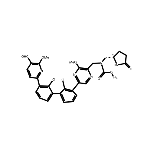 COc1nc(-c2cccc(-c3cccc(-c4cnc(CN(C[C@@H]5CCC(=O)N5)C(=O)OC(C)(C)C)c(OC)n4)c3Cl)c2Cl)ccc1C=O